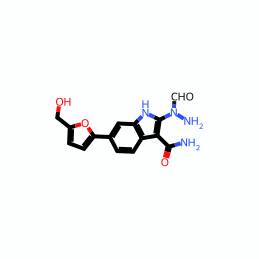 NC(=O)c1c(N(N)C=O)[nH]c2cc(-c3ccc(CO)o3)ccc12